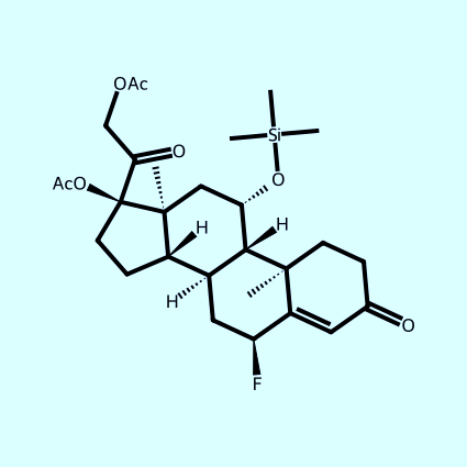 CC(=O)OCC(=O)[C@@]1(OC(C)=O)CC[C@H]2[C@@H]3C[C@H](F)C4=CC(=O)CC[C@]4(C)[C@H]3[C@@H](O[Si](C)(C)C)C[C@@]21C